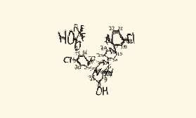 O=C(O)C(F)(F)F.O[C@H]1C[C@H]2CN(C3CCN(c4cc(Cl)ccn4)CC3)[C@@H](Cc3ccc(Cl)cc3)CN2C1